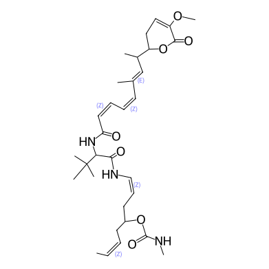 C/C=C\CC(C/C=C\NC(=O)C(NC(=O)\C=C/C=C\C(C)=C\C(C)C1CC=C(OC)C(=O)O1)C(C)(C)C)OC(=O)NC